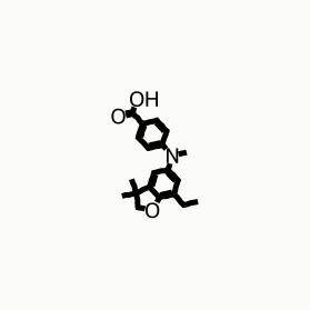 CCc1cc(N(C)c2ccc(C(=O)O)cc2)cc2c1OCC2(C)C